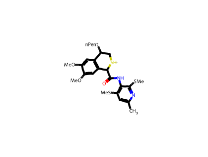 CCCCCC1C[SH]C(C(=O)Nc2c(SC)cc(C)nc2SC)c2cc(OC)c(OC)cc21